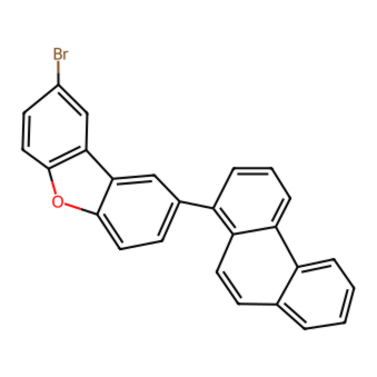 Brc1ccc2oc3ccc(-c4cccc5c4ccc4ccccc45)cc3c2c1